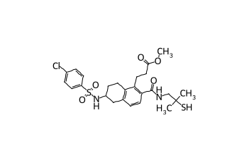 COC(=O)CCc1c(C(=O)NCC(C)(C)S)ccc2c1CCC(NS(=O)(=O)c1ccc(Cl)cc1)C2